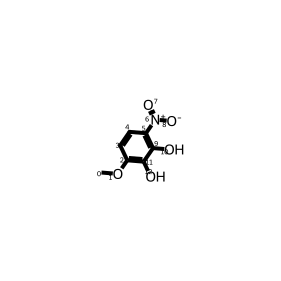 COc1ccc([N+](=O)[O-])c(O)c1O